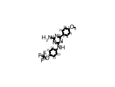 COc1ccc(-c2nc(N)nc(Nc3ccc(OC(F)(F)F)cc3)n2)cc1